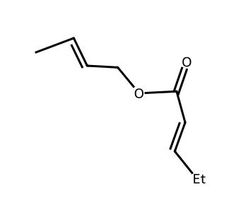 CC=CCOC(=O)C=CCC